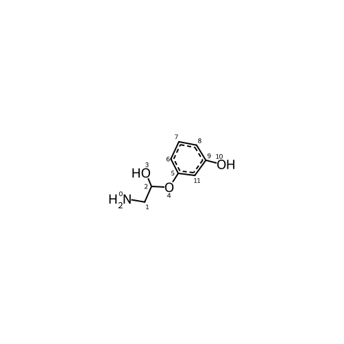 NCC(O)Oc1cccc(O)c1